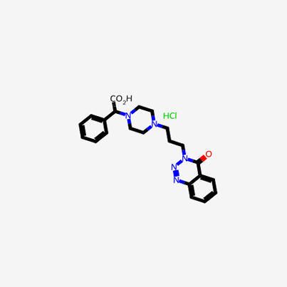 Cl.O=C(O)C(c1ccccc1)N1CCN(CCCn2nnc3ccccc3c2=O)CC1